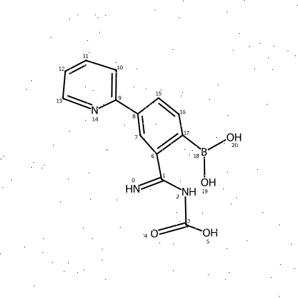 N=C(NC(=O)O)c1cc(-c2ccccn2)ccc1B(O)O